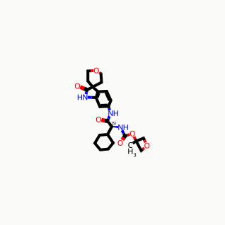 CC1(OC(=O)N[C@H](C(=O)Nc2ccc3c(c2)NC(=O)C32CCOCC2)C2CCCCC2)COC1